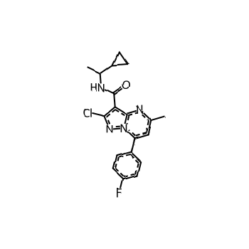 Cc1cc(-c2ccc(F)cc2)n2nc(Cl)c(C(=O)NC(C)C3CC3)c2n1